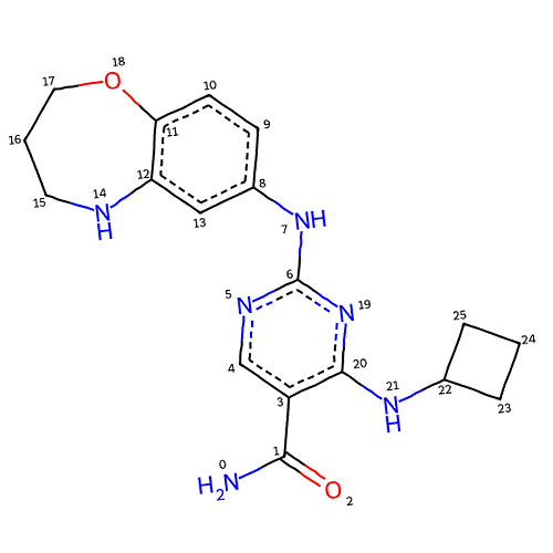 NC(=O)c1cnc(Nc2ccc3c(c2)NCCCO3)nc1NC1CCC1